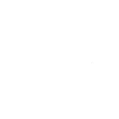 CC(C)CCCCCCCCCCCC(=O)O